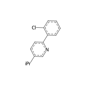 CC(C)c1ccc(-c2ccccc2Cl)nc1